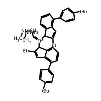 C[CH]=[Ti+2]([CH]1C(CC)=Cc2c(-c3ccc(C(C)(C)C)cc3)cccc21)[CH]1C(CC)=Cc2c(-c3ccc(C(C)(C)C)cc3)cccc21.C[N-]C.C[N-]C